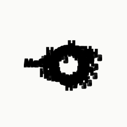 C/C=C/C[C@@H](C)[C@@H](O)[C@H]1C(=O)N[C@@H](CC)C(=O)N(C)[C@H](C)C(=O)N[C@@H]([C@H](C)CCN2CC(OC)C2)C(=O)N[C@@H](C(C)C)C(=O)N(C)[C@@H](CC(C)C)C(=O)N[C@@H](C)C(=O)N[C@H](C)C(=O)N(C)[C@@H](CC(C)C)C(=O)N(C)[C@@H](CC(C)C)C(=O)N(C)[C@@H](C(C)C)C(=O)N1C